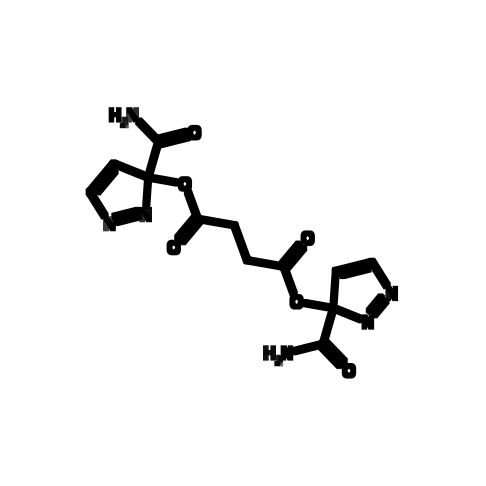 NC(=O)C1(OC(=O)CCC(=O)OC2(C(N)=O)C=CN=N2)C=CN=N1